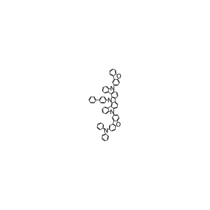 c1ccc(-c2ccc(-n3c4c(ccc5c4c4ccccc4n5-c4ccc5oc6ccccc6c5c4)c4ccc5c(c6ccccc6n5-c5ccc6oc7ccc(N(c8ccccc8)c8ccccc8)cc7c6c5)c43)cc2)cc1